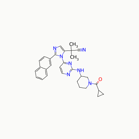 CC(C)(C#N)c1cnc(-c2ccc3ccccc3c2)n1-c1ccnc(NC2CCCN(C(=O)C3CC3)C2)n1